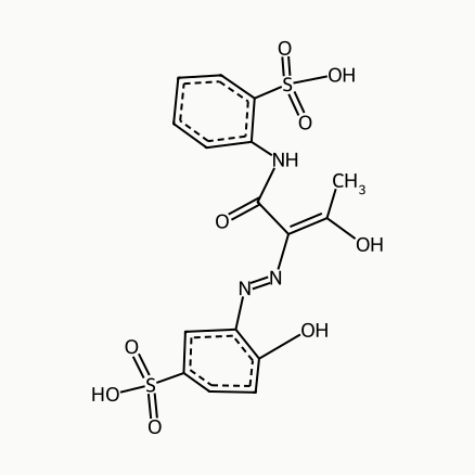 C/C(O)=C(/N=N/c1cc(S(=O)(=O)O)ccc1O)C(=O)Nc1ccccc1S(=O)(=O)O